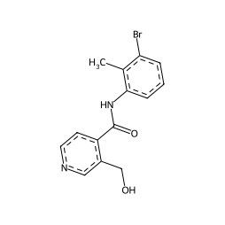 Cc1c(Br)cccc1NC(=O)c1ccncc1CO